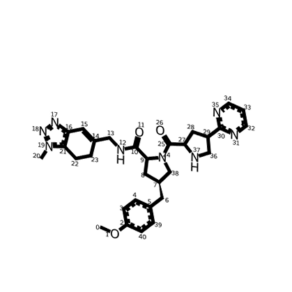 COc1ccc(C[C@H]2CC(C(=O)NCC3=Cc4nnn(C)c4CC3)N(C(=O)C3CC(c4ncccn4)CN3)C2)cc1